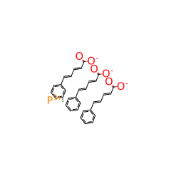 O=C([O-])C=CC=Cc1ccccc1.O=C([O-])C=CC=Cc1ccccc1.O=C([O-])C=CC=Cc1ccccc1.[P+3]